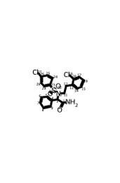 NC(=O)C(c1ccccc1)N(CCc1ccccc1Cl)S(=O)(=O)c1ccc(Cl)cc1